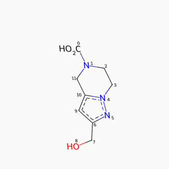 O=C(O)N1CCn2nc(CO)cc2C1